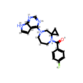 O=C(c1ccc(F)cc1)N1CCCN(c2ncnc3[nH]ccc23)CC12CC2